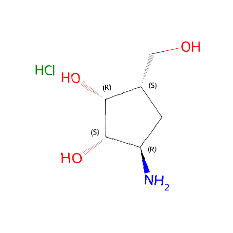 Cl.N[C@@H]1C[C@@H](CO)[C@@H](O)[C@H]1O